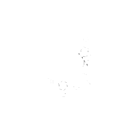 COCc1cnc(N2CCC([C@H]3C[C@H]3COCc3ccc(Br)cc3F)CC2)nc1